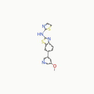 COc1cncc(-c2ccc3nc(Nc4nccs4)sc3c2)c1